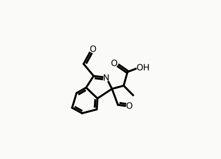 CC(C(=O)O)C1(C=O)N=C(C=O)c2ccccc21